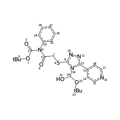 CC(C)(C)OC(=O)N(C(=O)CSc1nnc(-c2ccncc2)n1C(O)OC(C)(C)C)c1ccccc1